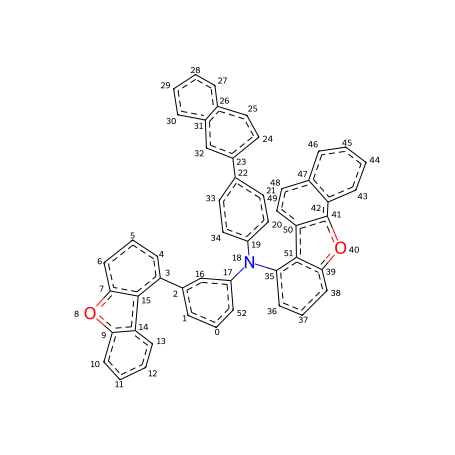 c1cc(-c2cccc3oc4ccccc4c23)cc(N(c2ccc(-c3ccc4ccccc4c3)cc2)c2cccc3oc4c5ccccc5ccc4c23)c1